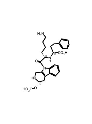 NCCCC[C@H](N[C@@H](CCc1ccccc1)C(=O)O)C(=O)n1c2c(c3ccccc31)C[C@H](OC(=O)O)NC2